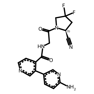 N#C[C@@H]1CC(F)(F)CN1C(=O)CNC(=O)c1ccncc1-c1ccc(N)nc1